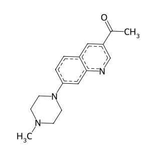 CC(=O)c1cnc2cc(N3CCN(C)CC3)ccc2c1